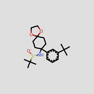 CC(C)(C)c1cccc(C2(N[S+]([O-])C(C)(C)C)CCC3(CC2)OCCO3)c1